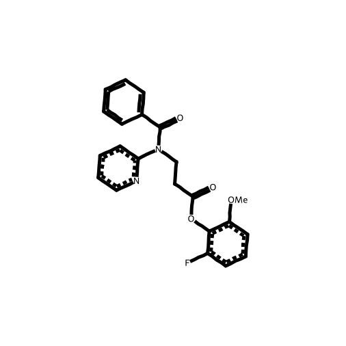 COc1cccc(F)c1OC(=O)CCN(C(=O)C1=CC=C=C=C1)c1ccccn1